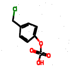 O=[Se](=O)(O)Oc1ccc(CCl)cc1